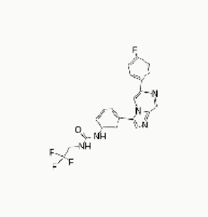 O=C(NCC(F)(F)F)Nc1cccc(-c2cnc3cnc(-c4ccc(F)cc4)cn23)c1